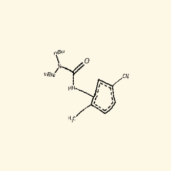 CCCCN(CCCC)C(=O)Nc1cc(C#N)ccc1C